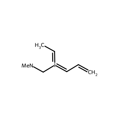 C=C/C=I(=CC)/CNC